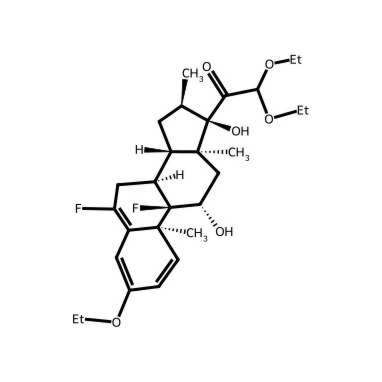 CCOC1=CC2=C(F)C[C@H]3[C@@H]4C[C@@H](C)[C@](O)(C(=O)C(OCC)OCC)[C@@]4(C)C[C@H](O)[C@]3(F)[C@@]2(C)C=C1